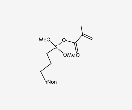 C=C(C)C(=O)O[Si](CCCCCCCCCCCC)(OC)OC